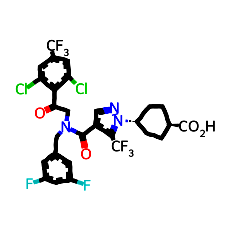 O=C(CN(Cc1cc(F)cc(F)c1)C(=O)c1cnn([C@H]2CC[C@H](C(=O)O)CC2)c1C(F)(F)F)c1c(Cl)cc(C(F)(F)F)cc1Cl